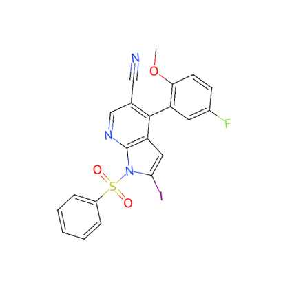 COc1ccc(F)cc1-c1c(C#N)cnc2c1cc(I)n2S(=O)(=O)c1ccccc1